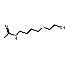 CC(=O)NCCCCOCCO